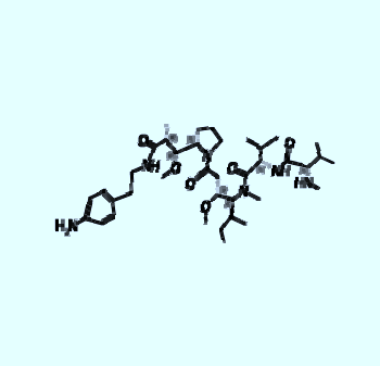 CCC(C)[C@@H]([C@@H](CC(=O)N1CCC[C@H]1[C@H](OC)[C@@H](C)C(=O)NCCc1ccc(N)cc1)OC)N(C)C(=O)[C@@H](NC(=O)[C@@H](NC)C(C)C)C(C)C